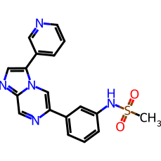 CS(=O)(=O)Nc1cccc(-c2cn3c(-c4cccnc4)cnc3cn2)c1